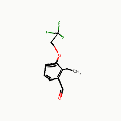 Cc1c(C=O)cccc1OCC(F)(F)F